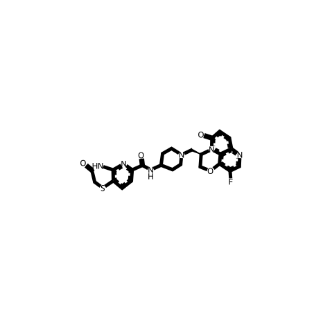 O=C1CSc2ccc(C(=O)NC3CCN(C[C@@H]4COc5c(F)cnc6ccc(=O)n4c56)CC3)nc2N1